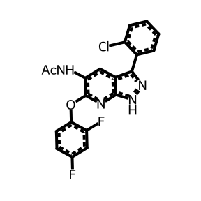 CC(=O)Nc1cc2c(-c3ccccc3Cl)n[nH]c2nc1Oc1ccc(F)cc1F